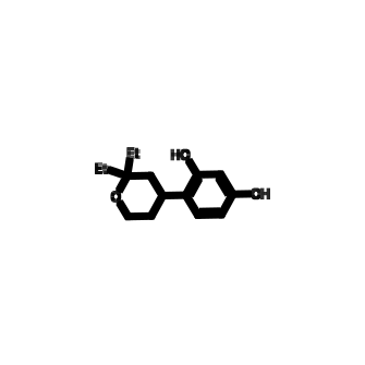 CCC1(CC)CC(c2ccc(O)cc2O)CCO1